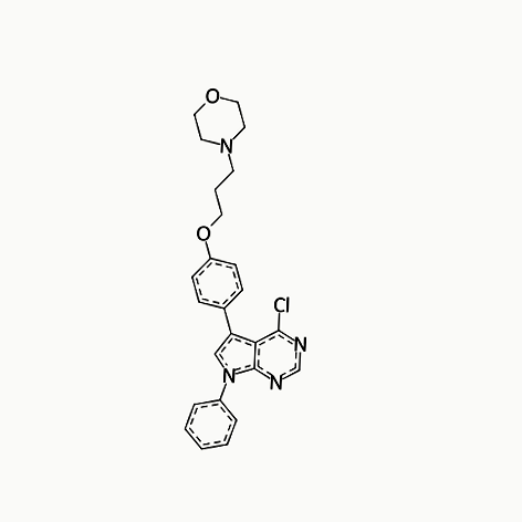 Clc1ncnc2c1c(-c1ccc(OCCCN3CCOCC3)cc1)cn2-c1ccccc1